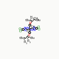 CC(CCC(COc1ccc(-c2[nH]/c(=C(/C#N)c3cnc4cc(Cl)c(Cl)cc4n3)c3c(-c4ccc(OCC(CCC(C)CC(C)(C)C)C(C)CC(C)(C)C)cc4)[nH]/c(=C(/C#N)c4cnc5cc(Cl)c(Cl)cc5n4)c23)cc1)C(C)CC(C)(C)C)CC(C)(C)C